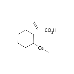 C=CC(=O)O.[CH3][Ca][CH]1CCCCC1